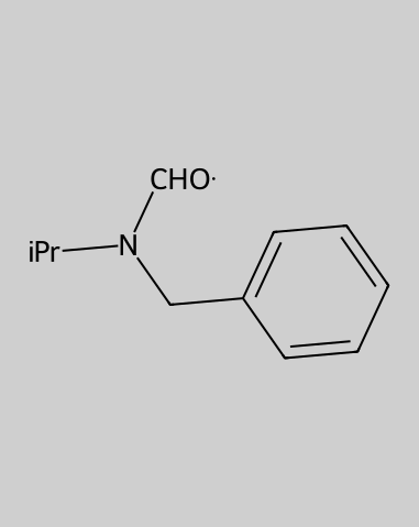 CC(C)N([C]=O)Cc1ccccc1